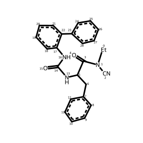 CCN(C#N)C(=O)C(Cc1ccccc1)NC(=O)Nc1ccccc1-c1ccccc1